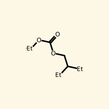 C[CH]OC(=O)OCC(CC)CC